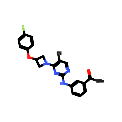 CNC(=O)c1cccc(Nc2ncc(C#N)c(N3CC(Oc4ccc(F)cc4)C3)n2)c1